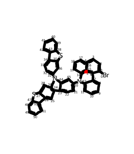 Brc1ccccc1-c1ccccc1N(c1ccccc1)c1ccc2c3cc4c(cc3n(-c3ccc5c(c3)sc3ccccc35)c2c1)sc1ccccc14